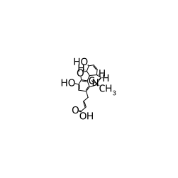 CN1CC[C@]23c4c5c(CC=CC(=O)O)cc(O)c4O[C@H]2[C@@H](O)C=C[C@H]3[C@H]1C5